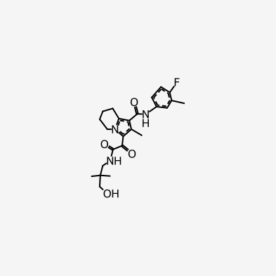 Cc1cc(NC(=O)c2c(C)c(C(=O)C(=O)NCC(C)(C)CO)n3c2CCCC3)ccc1F